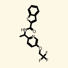 CC(NC(=O)c1cc2ccccc2s1)c1ccc(OCC(F)(F)F)cn1